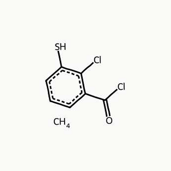 C.O=C(Cl)c1cccc(S)c1Cl